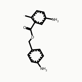 [CH2]c1ccc(N)cc1C(=O)OCc1ccc(N)cc1